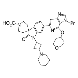 CC(C)n1cnc2cc(-c3ccc4c(c3)N(C3CC(N5CCCCC5)C3)C(=O)C43CCN(C(=O)O)CC3)nc(OC3CCOCC3)c21